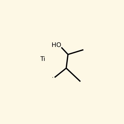 [CH2]C(C)C(C)O.[Ti]